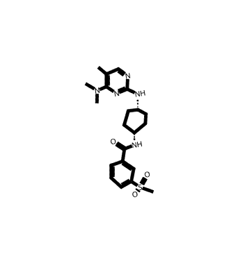 Cc1cnc(N[C@H]2CC[C@@H](NC(=O)c3cccc(S(C)(=O)=O)c3)CC2)nc1N(C)C